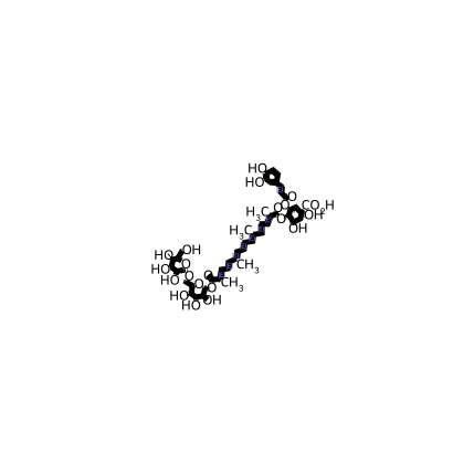 CC(/C=C/C=C(\C)C(=O)O[C@@H]1OC(CO[C@@H]2OC(CO)[C@@H](O)C(O)C2O)[C@@H](O)C(O)C1O)=C\C=C\C=C(C)\C=C\C=C(/C)C(=O)O[C@@H]1[C@@H](O)C[C@](O)(C(=O)O)C[C@H]1OC(=O)/C=C/c1ccc(O)c(O)c1